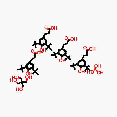 CC(C)(C)c1cc(CCC(=O)O)cc(C(C)(C)C)c1O.CC(C)(C)c1cc(CCC(=O)O)cc(C(C)(C)C)c1O.CC(C)(C)c1cc(CCC(=O)O)cc(C(C)(C)C)c1O.CC(C)(C)c1cc(CCC(=O)O)cc(C(C)(C)C)c1O.OCC(CO)(CO)CO.OP(O)O